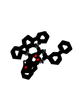 c1ccc(-c2cccc(-c3nc(-c4ccccc4)nc(-n4c5ccccc5c5ccc6c7ccccc7n(-c7cccc8c7oc7ccccc78)c6c54)n3)c2)cc1